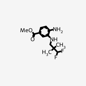 COC(=O)c1ccc(N)c(NCC(C)(C)C(F)F)c1